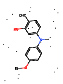 CCOc1ccc(N(C)c2ccc(C=O)c(O)c2)cc1